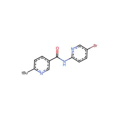 CC(C)(C)c1ccc(C(=O)Nc2ccc(Br)cn2)cn1